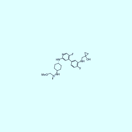 COC[C@H](C)N[C@H]1CC[C@H](Nc2cc(-c3ccc(F)c(NCC4(O)CC4)c3)c(F)cn2)CC1